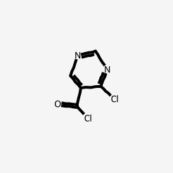 O=C(Cl)c1cncnc1Cl